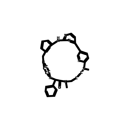 CN1CCCN(C)c2ccc(cn2)-c2ccnc(n2)Nc2cccc(c2)CN2CCN(CC2)C(c2ccccc2)C1=O